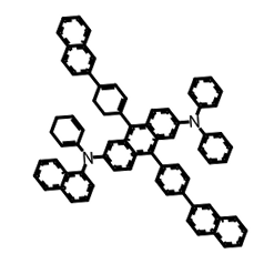 C1=CC(N(c2ccc3c(-c4ccc(-c5ccc6ccccc6c5)cc4)c4cc(N(c5ccccc5)c5ccccc5)ccc4c(C4=CC=C(c5ccc6ccccc6c5)CC4)c3c2)c2cccc3ccccc23)=CCC1